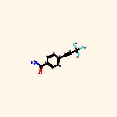 NC(=O)c1ccc(C#CC(F)(F)F)cc1